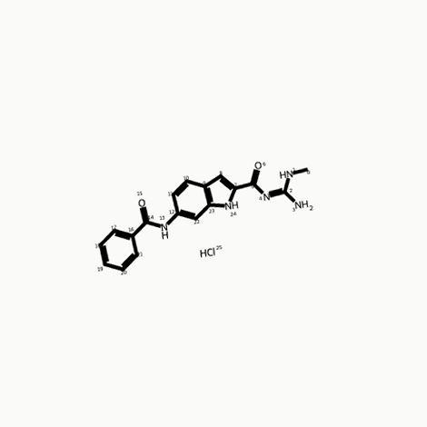 CNC(N)=NC(=O)c1cc2ccc(NC(=O)c3ccccc3)cc2[nH]1.Cl